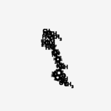 COC(=O)NC(C(=O)N1CC(F)(F)C[C@H]1c1ncc(-c2cnc(-c3ccc(-c4c[nH]c([C@H]5CC(=O)C6c7c(ccn7C5)CC[C@@H]6NC(=O)OC)n4)cc3)nc2)[nH]1)C(C)C